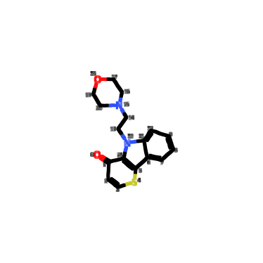 O=c1ccsc2c3ccccc3n(CCN3CCOCC3)c12